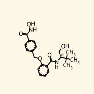 CC(C)(C)[C@H](CO)NC(=O)c1ccccc1OCc1ccc(C(=O)NO)cc1